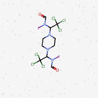 O=CN(I)C(N1CCN(C(N(I)C=O)C(Cl)(Cl)Cl)CC1)C(Cl)(Cl)Cl